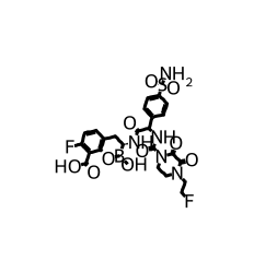 NS(=O)(=O)c1ccc(C(NC(=O)N2CCN(CCF)C(=O)C2=O)C(=O)N[C@H]2Cc3ccc(F)c(C(=O)O)c3OB2O)cc1